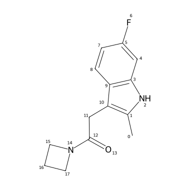 Cc1[nH]c2cc(F)ccc2c1CC(=O)N1CCC1